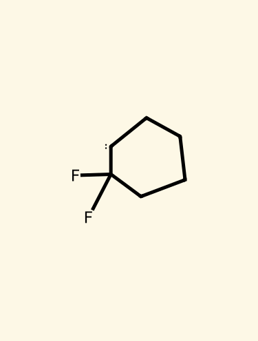 FC1(F)[C]CCCC1